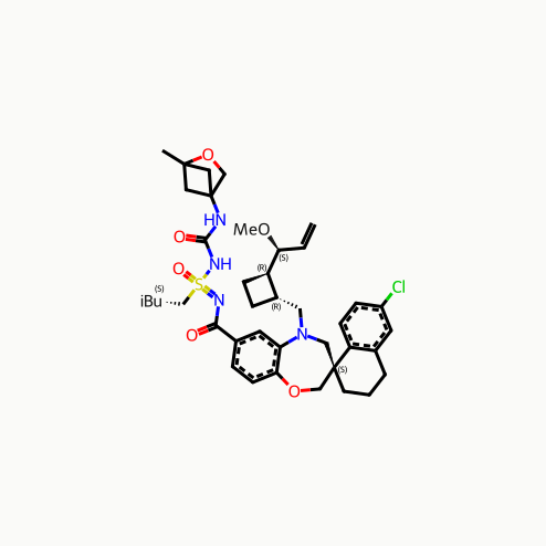 C=C[C@H](OC)[C@@H]1CC[C@H]1CN1C[C@@]2(CCCc3cc(Cl)ccc32)COc2ccc(C(=O)N=S(=O)(C[C@@H](C)CC)NC(=O)NC34COC(C)(C3)C4)cc21